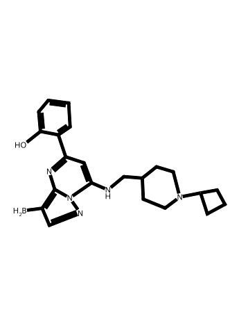 Bc1cnn2c(NCC3CCN(C4CCC4)CC3)cc(-c3ccccc3O)nc12